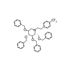 FC(F)(F)c1ccc(CCN2C[C@H](OCc3ccccc3)[C@@H](OCc3ccccc3)[C@H](OCc3ccccc3)[C@H]2COCc2ccccc2)cc1